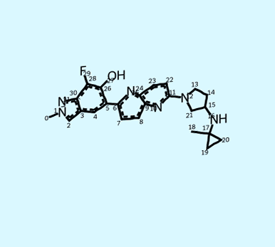 Cn1cc2cc(-c3ccc4nc(N5CCC(NC6(C)CC6)C5)ccc4n3)c(O)c(F)c2n1